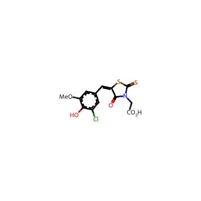 COc1cc(/C=C2/SC(=S)N(CC(=O)O)C2=O)cc(Cl)c1O